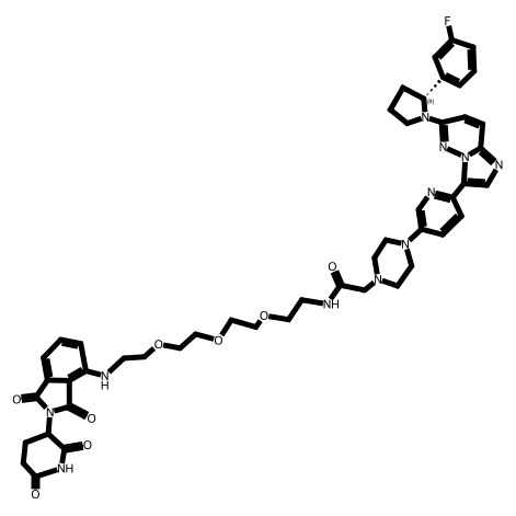 O=C(CN1CCN(c2ccc(-c3cnc4ccc(N5CCC[C@@H]5c5cccc(F)c5)nn34)nc2)CC1)NCCOCCOCCOCCNc1cccc2c1C(=O)N(C1CCC(=O)NC1=O)C2=O